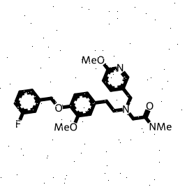 CNC(=O)CN(CCc1ccc(OCc2cccc(F)c2)c(OC)c1)Cc1ccc(OC)nc1